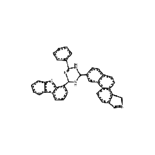 C1=NCc2c1ccc1c2ccc2ccc(C3NC(c4ccccc4)=NC(c4cccc5c4sc4ccccc45)N3)cc21